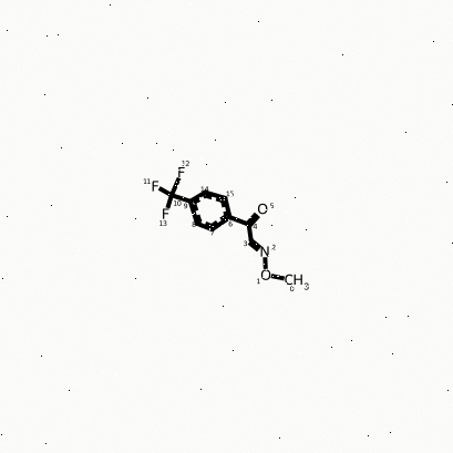 CON=CC(=O)c1ccc(C(F)(F)F)cc1